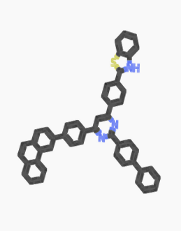 C1=CC(C2Nc3ccccc3S2)CC=C1c1cc(-c2ccc(-c3ccc4ccc5ccccc5c4c3)cc2)nc(-c2ccc(-c3ccccc3)cc2)n1